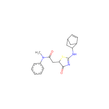 CN(C(=O)CC1SC(NC2CC3C=CC2C3)=NC1=O)c1ccccc1